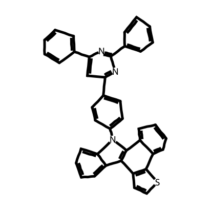 c1ccc(-c2cc(-c3ccc(-n4c5ccccc5c5c6ccsc6c6ccccc6c54)cc3)nc(-c3ccccc3)n2)cc1